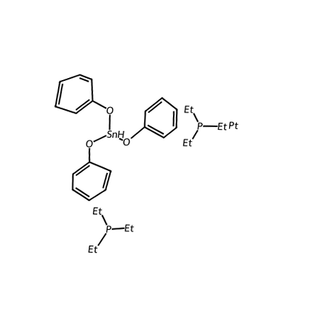 CCP(CC)CC.CCP(CC)CC.[Pt].c1ccc([O][SnH]([O]c2ccccc2)[O]c2ccccc2)cc1